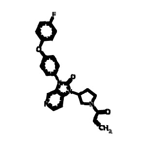 C=CC(=O)N1CCC(n2c(=O)n(-c3ccc(Oc4ccc(F)cc4)cc3)c3cnccc32)C1